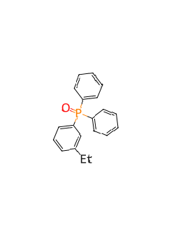 CCc1cccc(P(=O)(c2ccccc2)c2ccccc2)c1